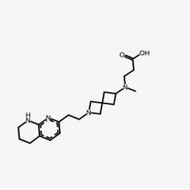 CN(CCC(=O)O)C1CC2(C1)CN(CCc1ccc3c(n1)NCCC3)C2